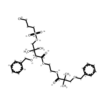 CC(C)(COCc1ccccc1)C(=O)OCCOC(=O)[C@H](OCc1ccccc1)C(C)(C)COS(=O)(=O)CCCCl